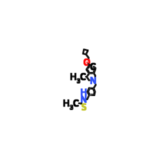 CC(=S)NCc1ccc(CN2Cc3ccc(OCC4CCC4)cc3C(C)C2)cc1